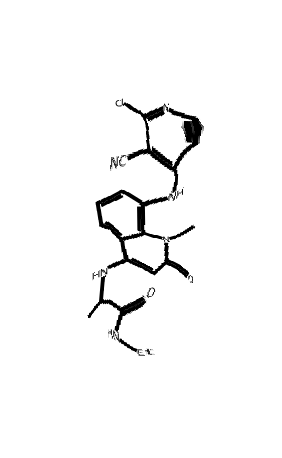 CCNC(=O)C(C)Nc1cc(=O)n(C)c2c(Nc3ccnc(Cl)c3C#N)cccc12